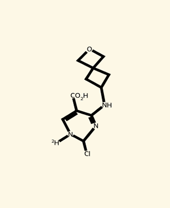 [2H]N1C=C(C(=O)O)C(NC2CC3(COC3)C2)=NC1Cl